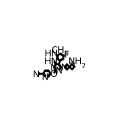 CNc1cc(F)cc2c1[nH]c1nc(Oc3ccc(C#N)nc3)nc(N3CC4(CC[C@H]4N)C3)c12